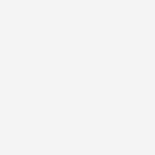 CCCCCc1ccc(-c2ccc(C3CCC(CC)CO3)c(F)c2)c(F)c1F